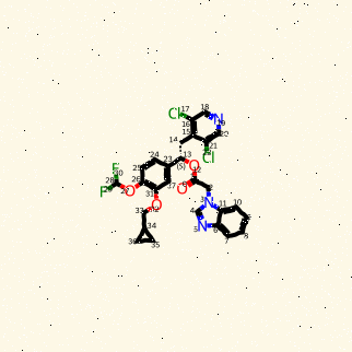 O=C(Cn1cnc2ccccc21)O[C@@H](Cc1c(Cl)cncc1Cl)c1ccc(OC(F)F)c(OCC2CC2)c1